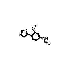 COc1cc(NC=O)ccc1C1CN=CO1